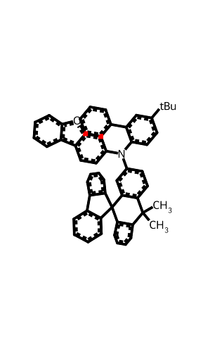 CC(C)(C)c1ccc(N(c2ccc3c(c2)C2(c4ccccc4-c4ccccc42)c2ccccc2C3(C)C)c2ccc3c(c2)oc2ccccc23)c(-c2ccccc2)c1